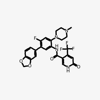 CN1CCN(c2cc(F)c(-c3ccc4c(c3)OCO4)cc2NC(=O)c2c[nH]c(=O)cc2C(F)(F)F)CC1